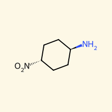 N[C@H]1CC[C@H]([N+](=O)[O-])CC1